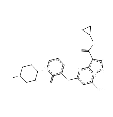 CNc1cc(Nc2cccn([C@H]3CC[C@H](O)CC3)c2=O)nc2c(C(=O)NC3CC3)cnn12